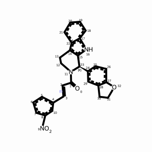 O=C(/C=C/c1cccc([N+](=O)[O-])c1)N1CCc2c([nH]c3ccccc23)[C@H]1c1ccc2c(c1)CCO2